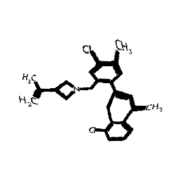 C=C1C=C(c2cc(C)c(Cl)cc2CN2CC(C(=C)C)C2)Cc2c(Cl)cccc21